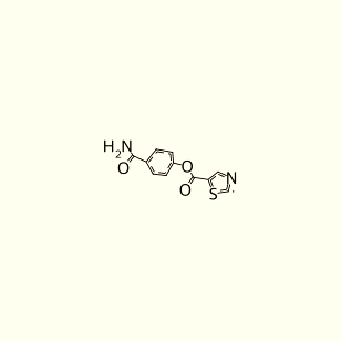 NC(=O)c1ccc(OC(=O)c2cn[c]s2)cc1